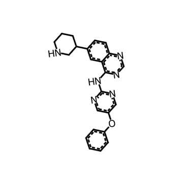 c1ccc(Oc2cnc(Nc3ncnc4ccc(C5CCCNC5)cc34)nc2)cc1